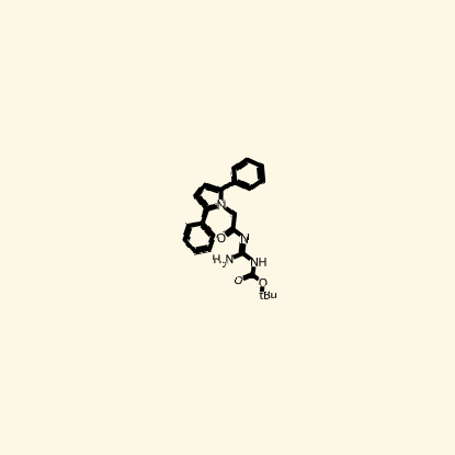 CC(C)(C)OC(=O)N/C(N)=N/C(=O)Cn1c(-c2ccccc2)ccc1-c1ccccc1